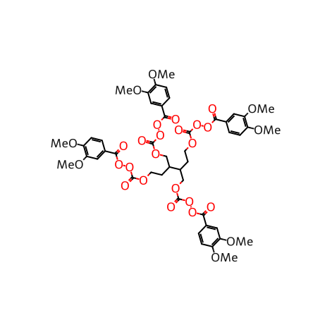 COc1ccc(C(=O)OOC(=O)OCCC(COC(=O)OOC(=O)c2ccc(OC)c(OC)c2)C(CCOC(=O)OOC(=O)c2ccc(OC)c(OC)c2)COC(=O)OOC(=O)c2ccc(OC)c(OC)c2)cc1OC